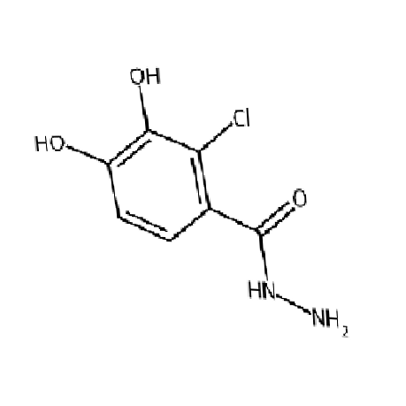 NNC(=O)c1ccc(O)c(O)c1Cl